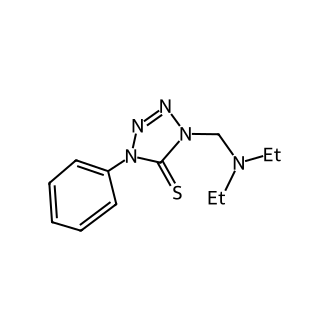 CCN(CC)Cn1nnn(-c2ccccc2)c1=S